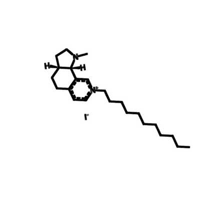 CCCCCCCCCCC[n+]1ccc2c(c1)[C@@H]1[C@H](CC2)CCN1C.[I-]